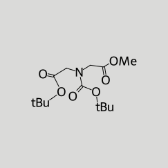 COC(=O)CN(CC(=O)OC(C)(C)C)C(=O)OC(C)(C)C